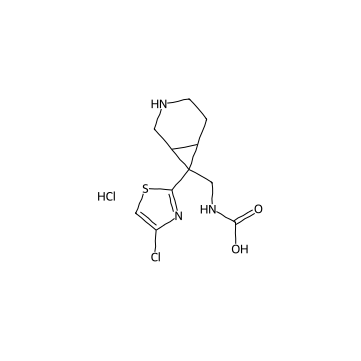 Cl.O=C(O)NCC1(c2nc(Cl)cs2)C2CCNCC21